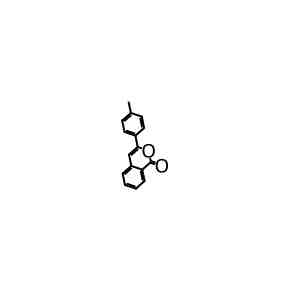 Cc1ccc(-c2cc3ccccc3c(=O)o2)cc1